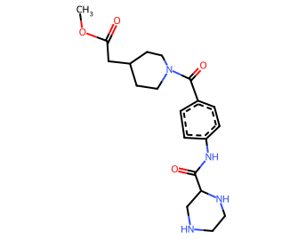 COC(=O)CC1CCN(C(=O)c2ccc(NC(=O)C3CNCCN3)cc2)CC1